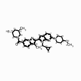 COC1CCN(c2ccc3cc(-c4nn5cc(C(=O)N6C[C@H](C)C[C@@H](F)C6)ccc5c4C)n(CC4CC4)c3n2)CC1